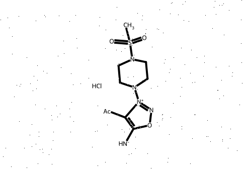 CC(=O)c1c([NH-])on[n+]1N1CCN(S(C)(=O)=O)CC1.Cl